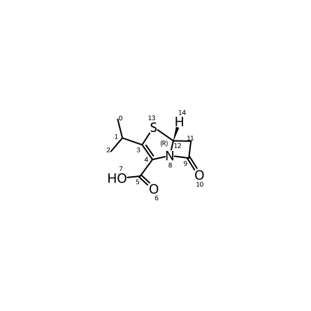 CC(C)C1=C(C(=O)O)N2C(=O)C[C@H]2S1